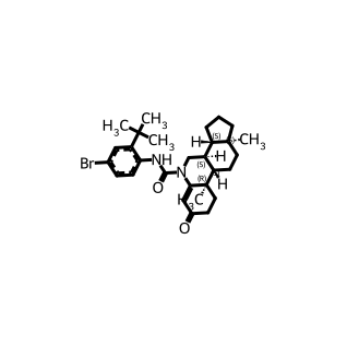 CC(C)(C)c1cc(Br)ccc1NC(=O)N1C[C@H]2[C@@H]3CCC[C@@]3(C)CC[C@@H]2[C@@]2(C)CCC(=O)C=C12